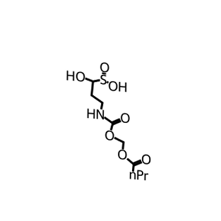 CCCC(=O)OCOC(=O)NCCC(O)S(=O)O